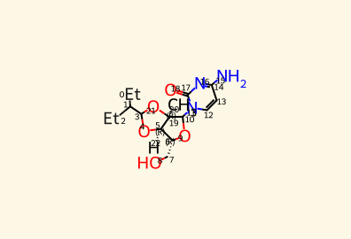 CCC(CC)C1O[C@@H]2[C@@H](CO)OC(n3ccc(N)nc3=O)[C@]2(C)O1